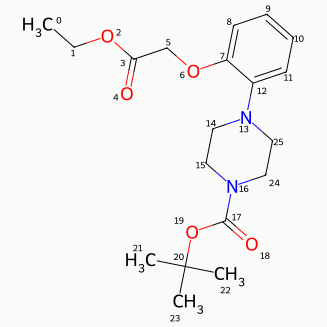 CCOC(=O)COc1ccccc1N1CCN(C(=O)OC(C)(C)C)CC1